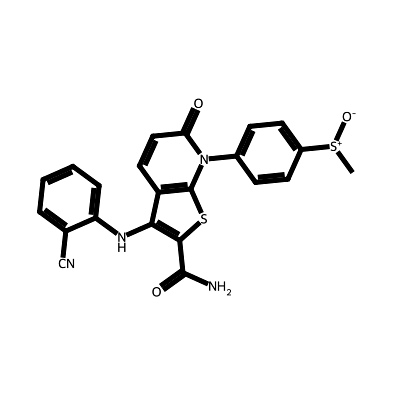 C[S+]([O-])c1ccc(-n2c(=O)ccc3c(Nc4ccccc4C#N)c(C(N)=O)sc32)cc1